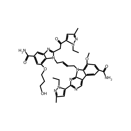 CCn1nc(C)cc1C(=O)Cc1nc2cc(C(N)=O)cc(OCCCO)c2n1C/C=C/Cn1c2nc(-c3cc(C)nn3CC)ncc2c2cc(C(N)=O)cc(OC)c21